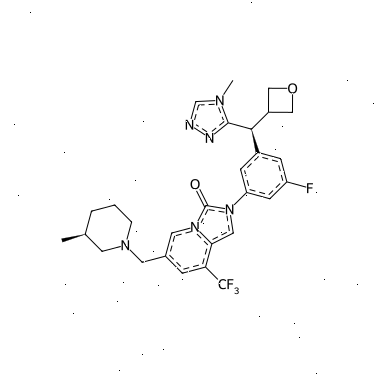 C[C@H]1CCCN(Cc2cc(C(F)(F)F)c3cn(-c4cc(F)cc([C@@H](c5nncn5C)C5COC5)c4)c(=O)n3c2)C1